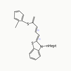 C=C(/C=C/C=C1\Sc2ccccc2N1CCCCCCC)Sc1ccccc1C